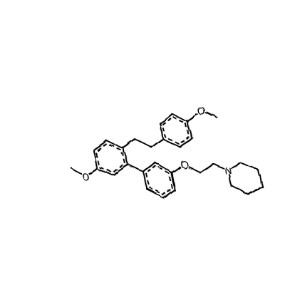 COc1ccc(CCc2ccc(OC)cc2-c2cccc(OCCN3CCCCC3)c2)cc1